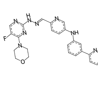 Fc1cnc(N/N=C/c2ccc(Nc3cccc(-c4ccncn4)c3)cn2)nc1N1CCOCC1